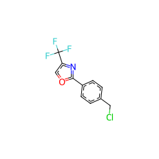 FC(F)(F)c1coc(-c2ccc(CCl)cc2)n1